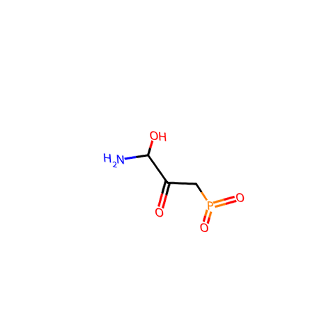 NC(O)C(=O)CP(=O)=O